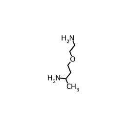 CC(N)CCOCCN